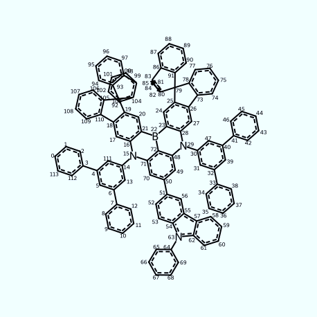 c1ccc(-c2cc(-c3ccccc3)cc(N3c4cc5c(cc4B4c6cc7c(cc6N(c6cc(-c8ccccc8)cc(-c8ccccc8)c6)c6cc(-c8ccc9c(c8)c8ccccc8n9-c8ccccc8)cc3c64)-c3ccccc3C73c4ccccc4-c4ccccc43)C3(c4ccccc4-c4ccccc43)c3ccccc3-5)c2)cc1